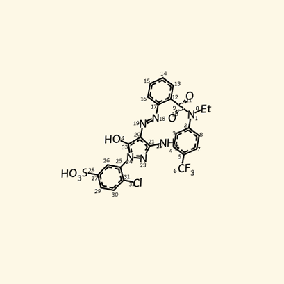 CCN(c1ccc(C(F)(F)F)cc1)S(=O)(=O)c1ccccc1/N=N/c1c(N)nn(-c2cc(S(=O)(=O)O)ccc2Cl)c1O